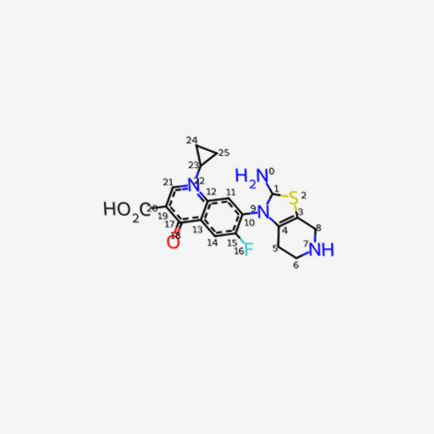 NC1SC2=C(CCNC2)N1c1cc2c(cc1F)c(=O)c(C(=O)O)cn2C1CC1